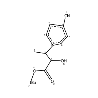 CC(c1ccc(C#N)cc1)C(O)C(=O)OC(C)(C)C